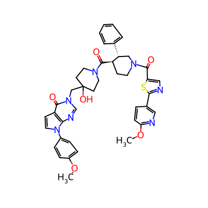 COc1ccc(-n2ccc3c(=O)n(CC4(O)CCN(C(=O)[C@@H]5CCN(C(=O)c6cnc(-c7ccc(OC)nc7)s6)C[C@H]5c5ccccc5)CC4)cnc32)cc1